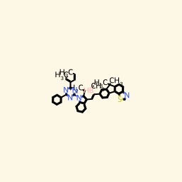 C=Cc1c(/C=C(\BC)c2ccc3c(c2)C(C)(C)c2ccc4ncsc4c2-3)c2ccccc2n1-c1nc(C(/C=C\C)=C/C)nc(-c2ccccc2)n1